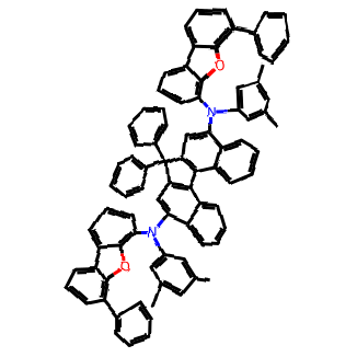 Cc1cc(C)cc(N(c2cc3c(c4ccccc24)-c2c(cc(N(c4cc(C)cc(C)c4)c4cccc5c4oc4c(-c6ccccc6)cccc45)c4ccccc24)C3(c2ccccc2)c2ccccc2)c2cccc3c2oc2c(-c4ccccc4)cccc23)c1